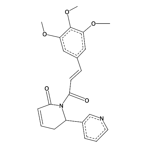 COc1cc(/C=C/C(=O)N2C(=O)C=CCC2c2cccnc2)cc(OC)c1OC